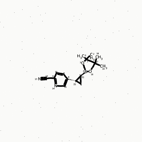 CC1(C)OB([C@H]2C[C@@H]2c2ccc(C#N)nc2)OC1(C)C